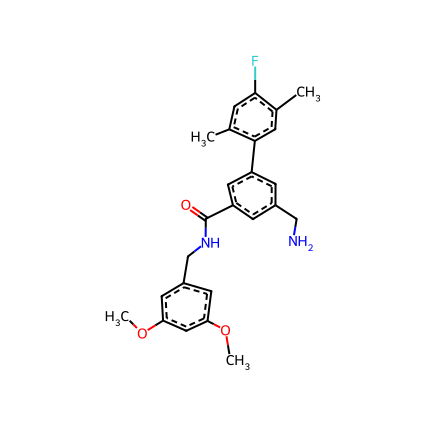 COc1cc(CNC(=O)c2cc(CN)cc(-c3cc(C)c(F)cc3C)c2)cc(OC)c1